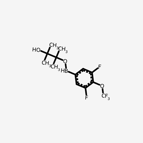 CC(C)(O)C(C)(C)OBc1cc(F)c(OC(F)(F)F)c(F)c1